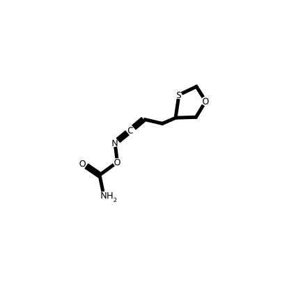 NC(=O)ON=C=CCC1COCS1